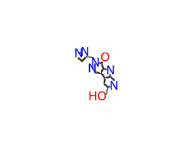 Cn1ccc(Cn2ncc3c4cc(CO)ncc4n(C)c3c2=O)n1